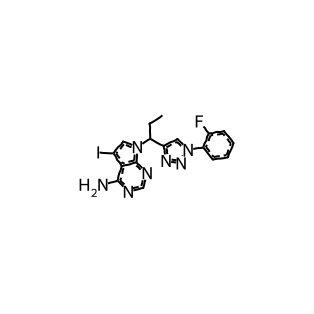 CCC(c1cn(-c2ccccc2F)nn1)n1cc(I)c2c(N)ncnc21